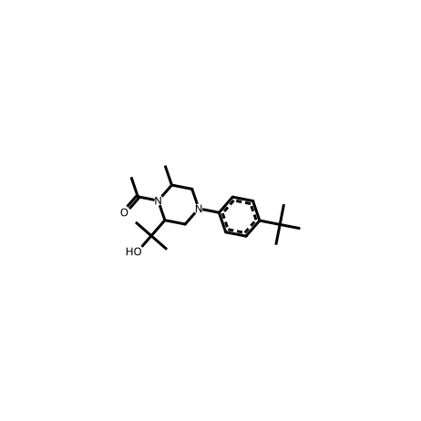 CC(=O)N1C(C)CN(c2ccc(C(C)(C)C)cc2)CC1C(C)(C)O